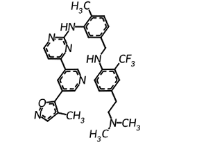 Cc1ccc(CNc2ccc(CCN(C)C)cc2C(F)(F)F)cc1Nc1nccc(-c2cncc(-c3oncc3C)c2)n1